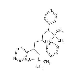 CC(C)(C)CC(CC(CC(c1ccncc1)C(C)(C)C)c1ccncc1)c1ccncc1